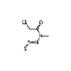 CN(N=S=S)C(=O)CCl